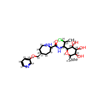 CSC1OC(C(NC(=O)C2CC[C@@H](COc3cccnc3)CCN2)C(C)Cl)C(O)C(O)C1O